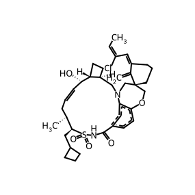 C=C1/C(=C\C(Cl)=C/C)CCC[C@]12COc1ccc3cc1N(C[C@@H]1CC[C@H]1[C@@H](O)/C=C/C[C@@H](C)[C@H](CC1CCC1)S(=O)(=O)NC3=O)C2